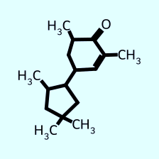 CC1=CC(C2CC(C)(C)CC2C)CC(C)C1=O